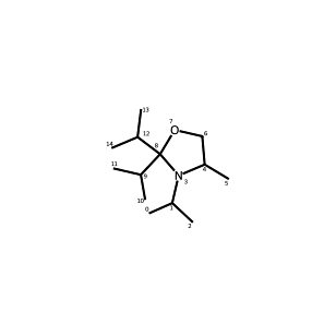 CC(C)N1C(C)COC1(C(C)C)C(C)C